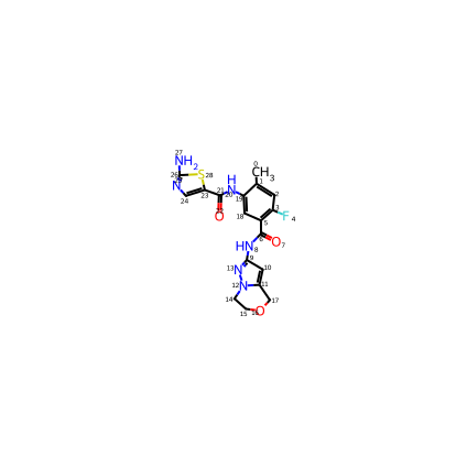 Cc1cc(F)c(C(=O)Nc2cc3n(n2)CCOC3)cc1NC(=O)c1cnc(N)s1